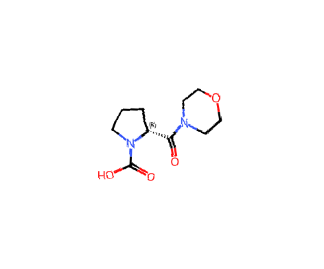 O=C([C@H]1CCCN1C(=O)O)N1CCOCC1